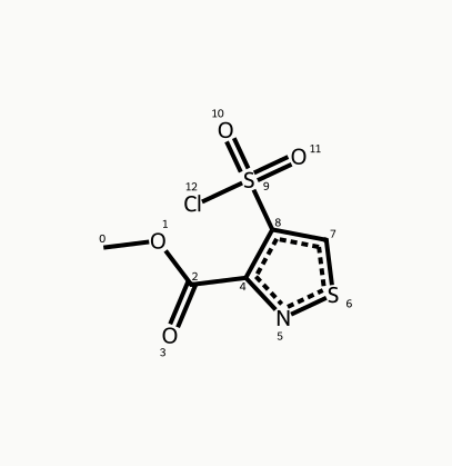 COC(=O)c1nscc1S(=O)(=O)Cl